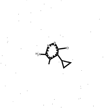 Cc1c(N)nnc(Cl)c1C1CC1